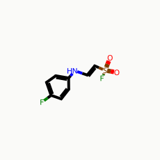 O=S(=O)(F)C=CNc1ccc(F)cc1